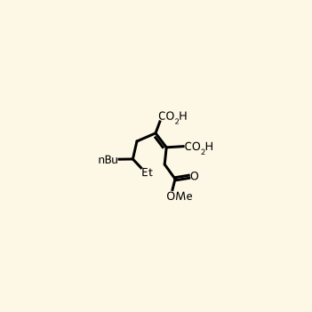 CCCCC(CC)CC(C(=O)O)=C(CC(=O)OC)C(=O)O